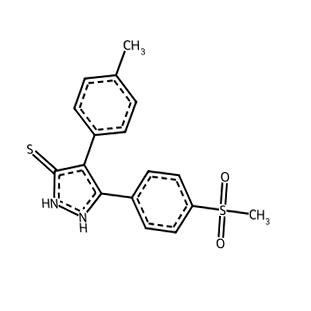 Cc1ccc(-c2c(-c3ccc(S(C)(=O)=O)cc3)[nH][nH]c2=S)cc1